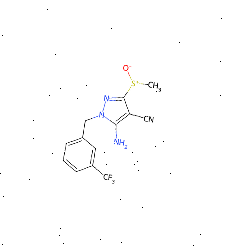 C[S+]([O-])c1nn(Cc2cccc(C(F)(F)F)c2)c(N)c1C#N